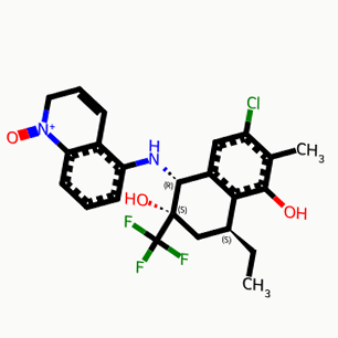 CC[C@H]1C[C@@](O)(C(F)(F)F)[C@H](Nc2cccc3c2C=CC[N+]3=O)c2cc(Cl)c(C)c(O)c21